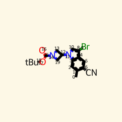 Cc1cc2c(cc1C#N)c(Br)cn2C1CN(C(=O)OC(C)(C)C)C1